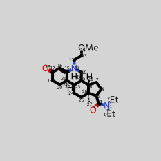 CCN(CC)C(=O)C1CC[C@H]2[C@@H]3CN(CCOC)C4=CC(=O)CC[C@]4(C)[C@@H]3CC[C@]12C